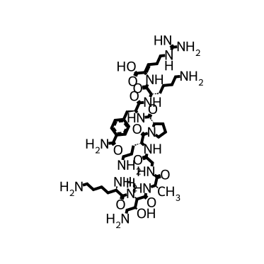 C[C@H](NC(=O)[C@@H](NC(=O)[C@@H](N)CCCCN)[C@@H](O)CN)C(=O)NCC(=O)N[C@H](CCCN)C(=O)N1CCC[C@H]1C(=O)N[C@@H](Cc1ccc(C(N)=O)cc1)C(=O)N[C@@H](CCCCN)C(=O)N/C(=C\CCNC(=N)N)C(=O)O